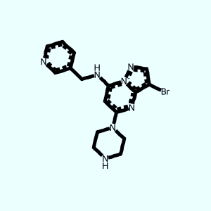 Brc1cnn2c(NCc3cccnc3)cc(N3CCNCC3)nc12